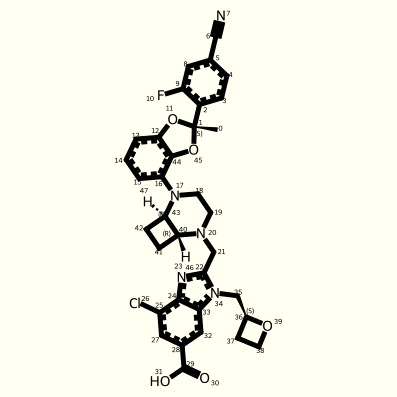 C[C@]1(c2ccc(C#N)cc2F)Oc2cccc(N3CCN(Cc4nc5c(Cl)cc(C(=O)O)cc5n4C[C@@H]4CCO4)[C@@H]4CC[C@H]43)c2O1